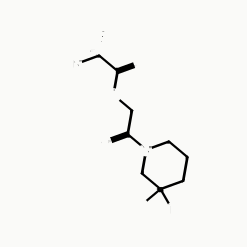 C[C@@H](N)C(=O)OCC(=O)N1CCCC(F)(F)C1